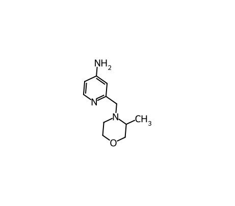 CC1COCCN1Cc1cc(N)ccn1